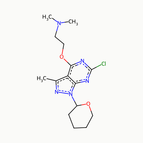 Cc1nn(C2CCCCO2)c2nc(Cl)nc(OCCN(C)C)c12